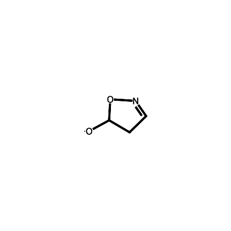 [O]C1CC=NO1